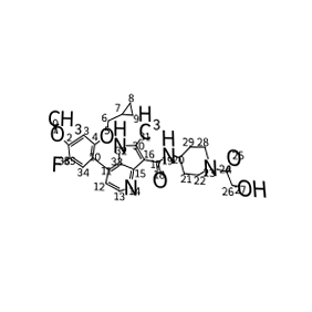 COc1cc(OCC2CC2)c(-c2ccnc3c(C(=O)NC4CCN(C(=O)CO)CC4)c(C)[nH]c23)cc1F